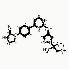 CC(C)(CO)n1cc(Nc2nccc(-c3ccc(N4CCNC4=O)cc3)n2)cn1